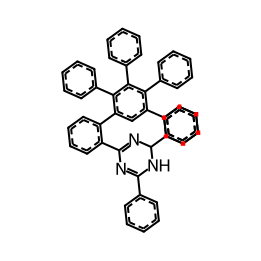 c1ccc(C2=NC(c3ccccc3-c3cc(-c4ccccc4)c(-c4ccccc4)c(-c4ccccc4)c3-c3ccccc3)=NC(c3ccccc3)N2)cc1